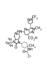 [2H]C([2H])([2H])n1c(=O)n(C2CCC(C)(NC(=O)C3CC3)CC2)c2cc(Nc3cc(C(=O)O)c4nn(C)c(-c5cnn(C(F)(F)F)c5)c4n3)ncc21